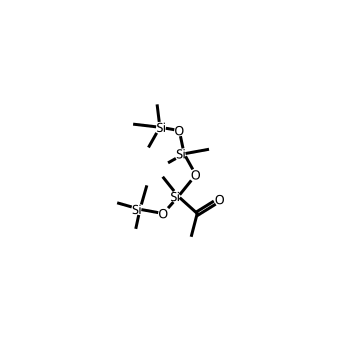 CC(=O)[Si](C)(O[Si](C)(C)C)O[Si](C)(C)O[Si](C)(C)C